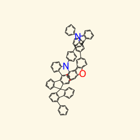 c1ccc(-c2ccc(N(c3ccccc3-c3cccc4c3-c3ccccc3C43c4ccccc4-c4c(-c5ccccc5)cccc43)c3cccc4oc5ccc(-c6ccc7c(c6)c6ccccc6n7-c6ccccc6)cc5c34)cc2)cc1